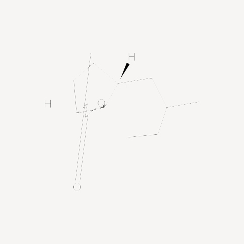 CC1CC[C@@]23OC(=O)C[C@@H]2CC[C@@H]3C1